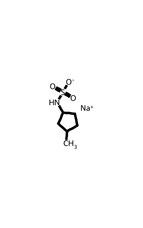 CC1CCC(NS(=O)(=O)[O-])C1.[Na+]